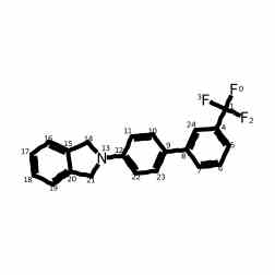 FC(F)(F)c1cccc(-c2ccc(N3Cc4ccccc4C3)cc2)c1